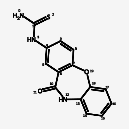 NC(=S)Nc1ccc2c(c1)C(=O)Nc1ccccc1O2